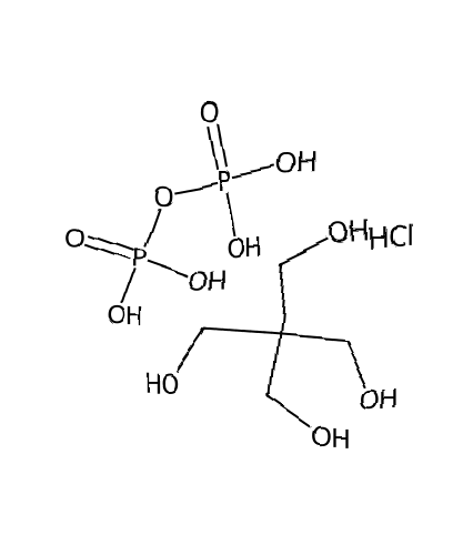 Cl.O=P(O)(O)OP(=O)(O)O.OCC(CO)(CO)CO